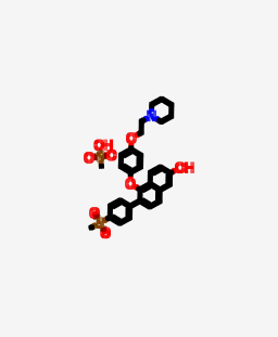 CS(=O)(=O)O.CS(=O)(=O)c1ccc(-c2ccc3cc(O)ccc3c2Oc2ccc(OCCN3CCCCC3)cc2)cc1